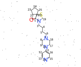 O=C1N(CCCCN2CCN(c3ccncc3)CC2)CSC12CCCC2